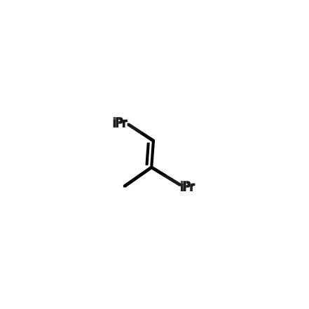 C/C(=C\C(C)C)C(C)C